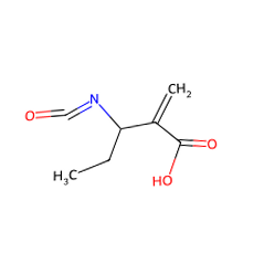 C=C(C(=O)O)C(CC)N=C=O